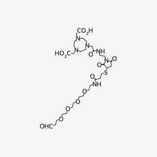 O=CCCOCCOCCOCCOCCNC(=O)CCSC1CC(=O)N(CCNC(=O)CN2CCN(CC(=O)O)CCN(CC(=O)O)CC2)C1=O